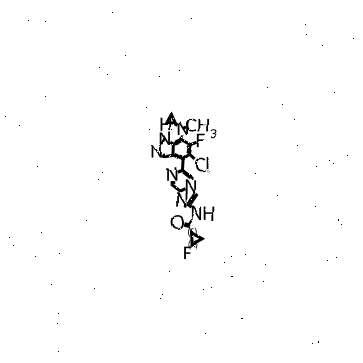 CN(c1c(F)c(Cl)c(-c2cn3cc(NC(=O)[C@@H]4C[C@H]4F)nc3cn2)c2cn[nH]c12)C1CC1